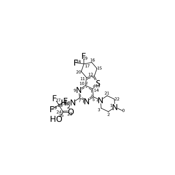 CN1CCN(c2nc(N)nc3c4c(sc23)CCC(F)(F)C4)CC1.O=C(O)C(F)(F)F